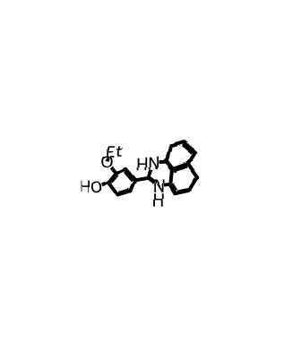 CCOc1cc(C2NC3=CCCC4=C3C(CC=C4)N2)ccc1O